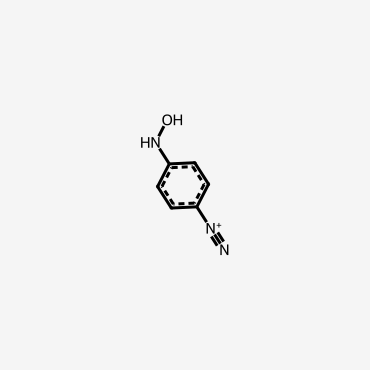 N#[N+]c1ccc(NO)cc1